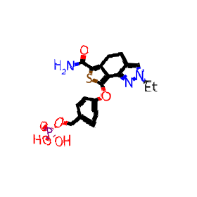 CCn1cc2c(n1)-c1c(Oc3ccc(COP(=O)(O)O)cc3)sc(C(N)=O)c1CC2